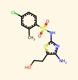 Cc1cc(Cl)ccc1S(=O)(=O)Nc1nc(N)c(CCO)s1